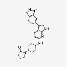 Cn1nnc2ccc(-c3c[nH]c4nc(NC5CCC(N6CCCC6=O)CC5)ncc34)cc21